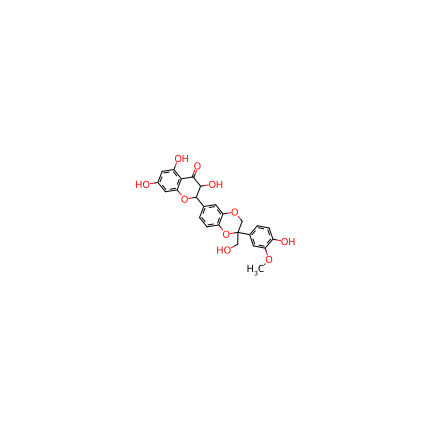 COc1cc(C2(CO)COc3cc(C4Oc5cc(O)cc(O)c5C(=O)C4O)ccc3O2)ccc1O